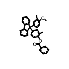 COc1ccc(C2(c3ccc(OC(=O)c4ccccc4)c(C)c3)c3ccccc3-c3ccccc32)cc1C